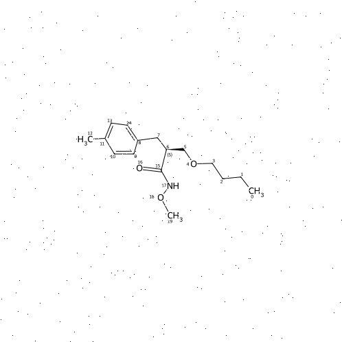 CCCCOC[C@H](Cc1ccc(C)cc1)C(=O)NOC